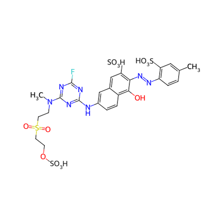 Cc1ccc(/N=N/c2c(S(=O)(=O)O)cc3cc(Nc4nc(F)nc(N(C)CCS(=O)(=O)CCOS(=O)(=O)O)n4)ccc3c2O)c(S(=O)(=O)O)c1